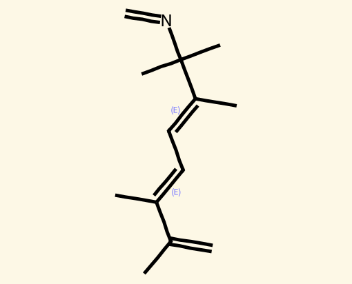 C=NC(C)(C)/C(C)=C/C=C(\C)C(=C)C